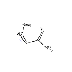 C=C(/C=N\NC)[N+](=O)[O-]